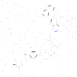 C=C1CC[C@H](N2Cc3cc(N4CCN(CC5(C#N)CCN(CC6(COc7nc(N8CCC[C@@](C)(O)C8)c8cnc(-c9cc(O)cc%10ccc(F)c(CC)c9%10)c(F)c8n7)CC6)CC5)CC4)ccc3C2=O)C(=O)N1